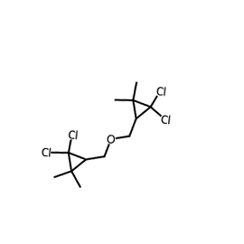 CC1(C)C(COCC2C(C)(C)C2(Cl)Cl)C1(Cl)Cl